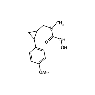 COc1ccc(C2CC2CN(C)C(=O)NO)cc1